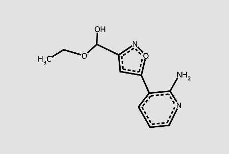 CCOC(O)c1cc(-c2cccnc2N)on1